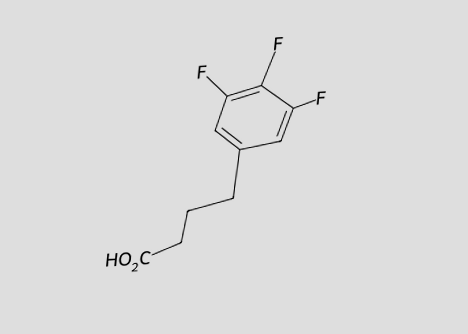 O=C(O)CCCc1cc(F)c(F)c(F)c1